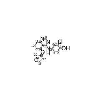 Oc1ccc(Nc2ncnc3cccc(OC4CCOC4)c23)cc1Cl